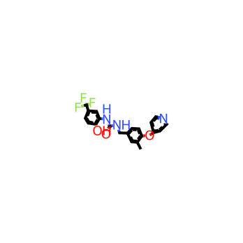 Cc1cc(CNC(=O)Nc2cc(C(F)(F)F)ccc2O)ccc1Oc1ccncc1